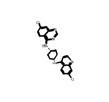 Clc1ccc2c(N[C@H]3CC[C@@H](Nc4ncnc5cc(Cl)ccc45)CC3)ccnc2c1